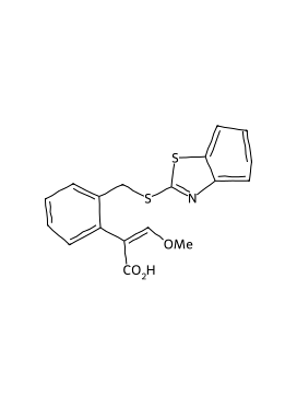 COC=C(C(=O)O)c1ccccc1CSc1nc2ccccc2s1